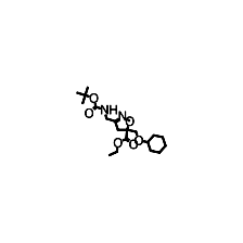 CCOC(=O)C1(COC2CCCCC2)CC(CNC(=O)OC(C)(C)C)=NO1